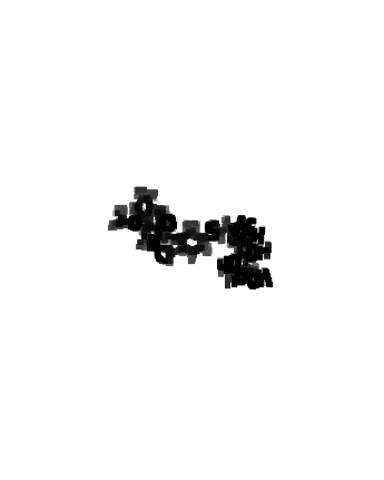 CC(=O)N(CCSc1ccc(Cl)c(COC2(c3cnccc3-c3ccccc3OC3CC3)CC2)c1)CC(O)C(O)C(O)C(O)CO